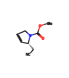 CC(C)(C)OC(=O)N1CC=C[C@H]1CC#N